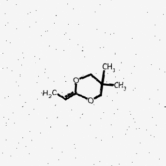 [CH2]C=C1OCC(C)(C)CO1